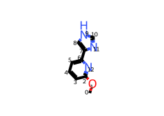 COc1cccc(-c2c[nH]cn2)n1